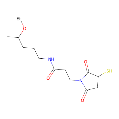 CCOC(C)CCCNC(=O)CCN1C(=O)CC(S)C1=O